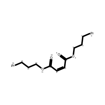 CC(C)CCCOC(=O)/C=C\C(=O)OCCCC(C)C